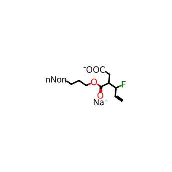 C=CC(F)C(CC(=O)[O-])C(=O)OCCCCCCCCCCCC.[Na+]